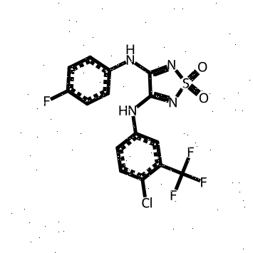 O=S1(=O)N=C(Nc2ccc(F)cc2)C(Nc2ccc(Cl)c(C(F)(F)F)c2)=N1